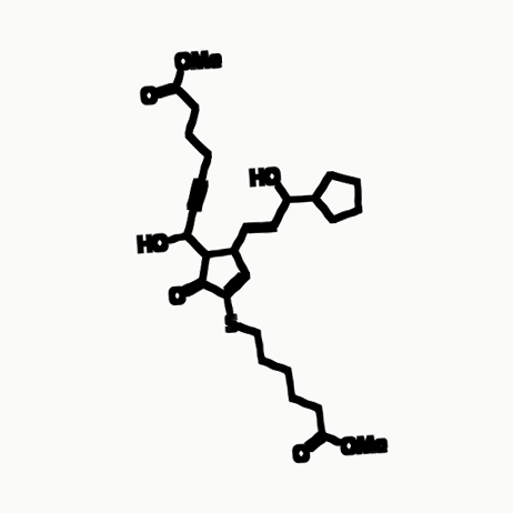 COC(=O)CCCC#CC(O)C1C(=O)C(SCCCCCC(=O)OC)=CC1C=CC(O)C1CCCC1